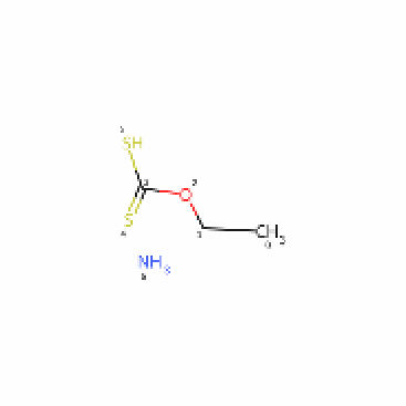 CCOC(=S)S.N